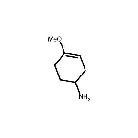 COC1=CCC(N)CC1